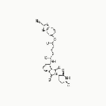 N#Cc1nc2cc(OC(=O)CCCC(=O)Nc3cccc4c3C(=O)N(C3CCC(=O)NC3=O)C4=O)ccc2s1